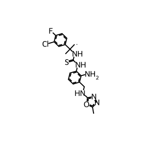 [CH2]C(C)(NC(=S)Nc1cccc(CNc2nnc(C)o2)c1N)c1ccc(F)c(Cl)c1